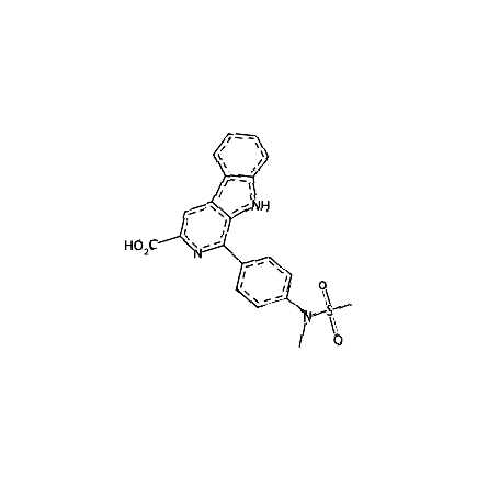 CN(c1ccc(-c2nc(C(=O)O)cc3c2[nH]c2ccccc23)cc1)S(C)(=O)=O